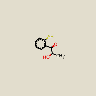 [CH2]C(O)C(=O)c1ccccc1S